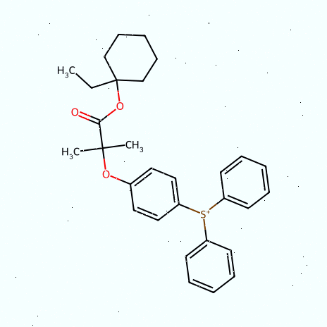 CCC1(OC(=O)C(C)(C)Oc2ccc([S+](c3ccccc3)c3ccccc3)cc2)CCCCC1